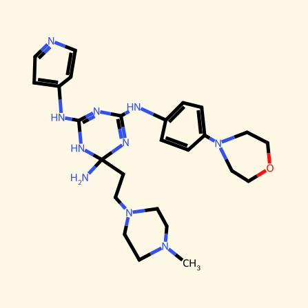 CN1CCN(CCC2(N)N=C(Nc3ccc(N4CCOCC4)cc3)N=C(Nc3ccncc3)N2)CC1